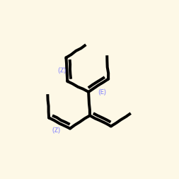 CC=C(/C=C\C)C(/C=C\C)=C/C